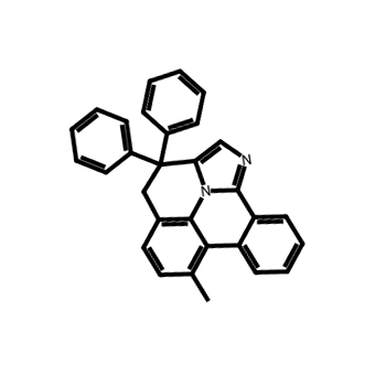 Cc1ccc2c3c1c1ccccc1c1ncc(n13)C(c1ccccc1)(c1ccccc1)C2